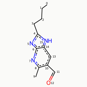 CCCCc1nc2nc(C)c(C=O)cc2[nH]1